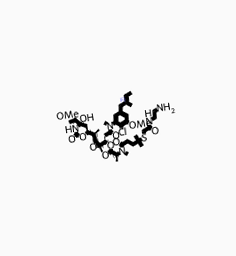 C/C=C(\C)Cc1cc(OC)c(Cl)c(N(C)C(=O)C[C@H](OC(=O)[C@H](C)N(C)C(=O)CCC(C)(C)SCC(=O)NCCN)[C@]2(C)O[C@H]2[C@H](C)[C@@H]2C[C@](O)([C@@H](C)OC)NC(=O)O2)c1